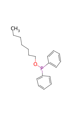 CCCCCCCOP(c1ccccc1)c1ccccc1